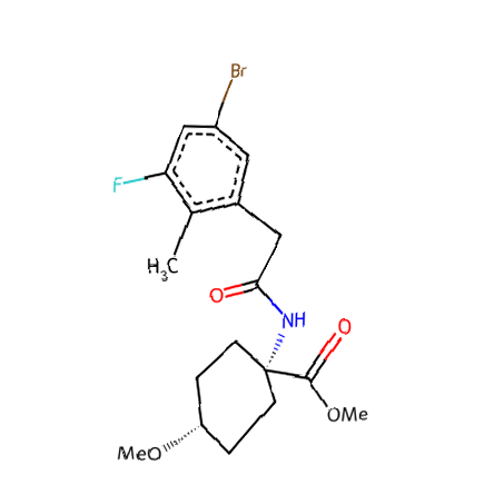 COC(=O)[C@]1(NC(=O)Cc2cc(Br)cc(F)c2C)CC[C@@H](OC)CC1